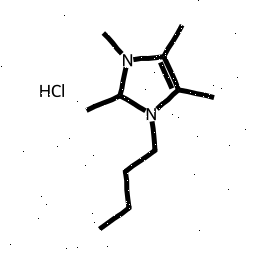 CCCCN1C(C)=C(C)N(C)C1C.Cl